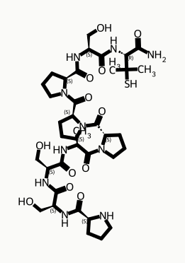 C[C@H](NC(=O)[C@H](CO)NC(=O)[C@H](CO)NC(=O)[C@@H]1CCCN1)C(=O)N1CCC[C@H]1C(=O)N1CCC[C@H]1C(=O)N1CCC[C@H]1C(=O)N[C@@H](CO)C(=O)N[C@H](C(N)=O)C(C)(C)S